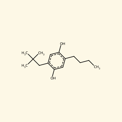 CCCCc1cc(O)c(CC(C)(C)C)cc1O